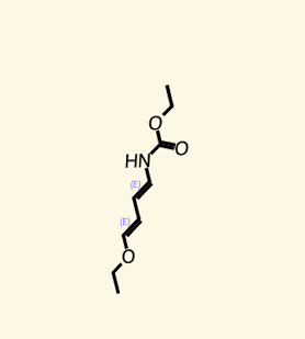 CCO/C=C/C=C/NC(=O)OCC